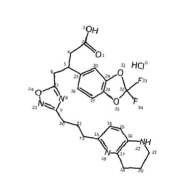 Cl.O=C(O)CC(Cc1nc(CCCc2ccc3c(n2)CCCN3)no1)c1ccc2c(c1)OC(F)(F)O2